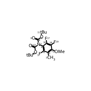 COc1c(C)c(F)c(N(C(=O)OC(C)(C)C)C(=O)OC(C)(C)C)c(F)c1F